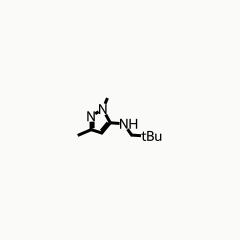 Cc1cc(NCC(C)(C)C)n(C)n1